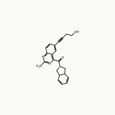 Nc1nc(C(=O)N2CC3C=CC=CC3C2)c2cc(C#CCCO)ccc2n1